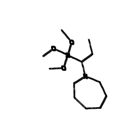 CCC(N1CCCCCC1)[Si](OC)(OC)OC